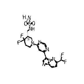 NS(=O)(=O)NC[C@@H]1CN(c2cc(-c3cnc4ccc(C(F)F)nn34)ncn2)CCC1(F)F